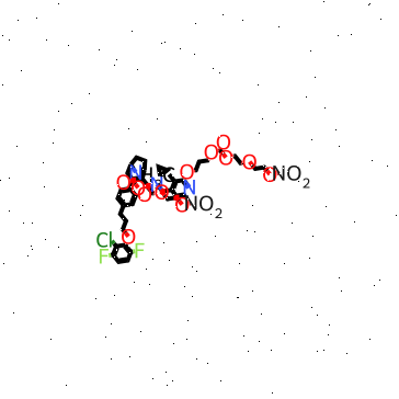 Cc1c(CN(C(=O)C2=C(c3ccc(CCCOc4c(F)ccc(F)c4Cl)cc3)CC3CCC2N3C(=O)OCCOCCO[N+](=O)[O-])C2CC2)ccnc1OCCCOC(=O)OCCOCCO[N+](=O)[O-]